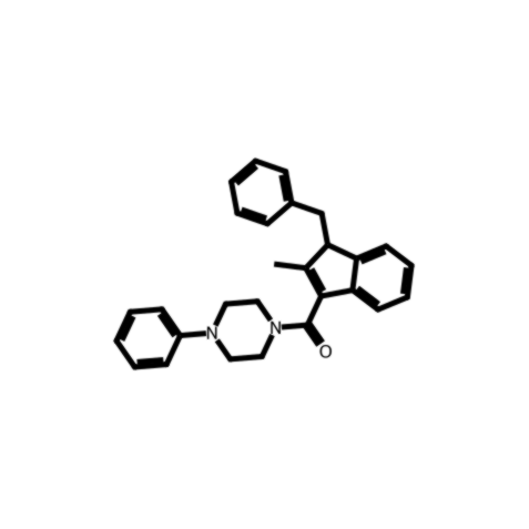 CC1=C(C(=O)N2CCN(c3ccccc3)CC2)c2ccccc2C1Cc1ccccc1